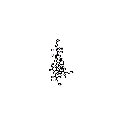 C=C1C[C@@]23CCC4[C@](C)(C(=O)OC5OC(CO)C(O)C(OC(O)C(O)C(O)C(O)CCO)C5OC(O)C(O)C(O)C(O)CCO)CCC[C@@]4(C)[C@@H]2CC[C@]1(OC(O)/C(O)=C(\O)C(O)CCO)C3